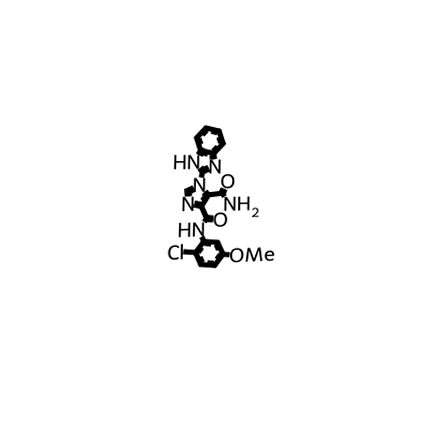 COc1ccc(Cl)c(NC(=O)c2ncn(-c3nc4ccccc4[nH]3)c2C(N)=O)c1